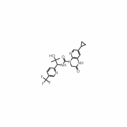 CC(C)(O)C(NC(=O)N1CC(=O)Nc2cc(C3CC3)cnc21)c1ccc(C(F)(F)F)cn1